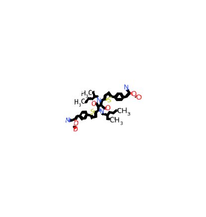 CCCCC(CC)CN1C(=O)C2=C(c3ccc(-c4ccc(/C=C(\C#N)OC=O)cc4)s3)N(CC(CC)CCCC)C(=O)C2=C1c1ccc(-c2ccc(/C=C(/C#N)OC=O)cc2)s1